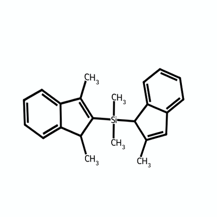 CC1=Cc2ccccc2C1[Si](C)(C)C1=C(C)c2ccccc2C1C